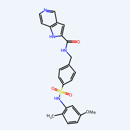 COc1ccc(C)c(NS(=O)(=O)c2ccc(CNC(=O)c3cc4cnccc4[nH]3)cc2)c1